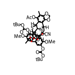 C=CCN1[C@@H]2Cc3cc(C)c(OC)c(OC(=O)OC(C)(C)C)c3[C@H]1C1[C@@H]3SC[C@]4(NCCc5cc(OC(=O)OC(C)(C)C)c(OC)cc54)C(=O)OC[C@@H](c4c5c(c(C)c(OC(C)=O)c43)OCO5)N1[C@H]2C#N